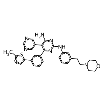 Cc1ncc(-c2cccc(-c3nc(Nc4cccc(CCN5CCOCC5)c4)nc(N)c3-c3cncnc3)c2)s1